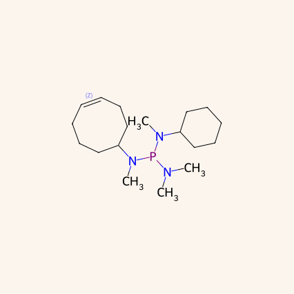 CN(C)P(N(C)C1CC/C=C\CCC1)N(C)C1CCCCC1